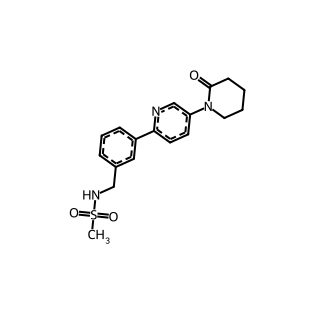 CS(=O)(=O)NCc1cccc(-c2ccc(N3CCCCC3=O)cn2)c1